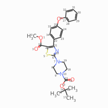 COC(=O)c1sc(N2CCN(C(=O)OC(C)(C)C)CC2)nc1-c1ccc(Oc2ccccc2)cc1